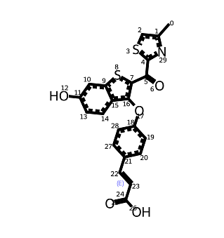 Cc1csc(C(=O)c2sc3cc(O)ccc3c2Oc2ccc(/C=C/C(=O)O)cc2)n1